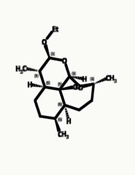 CCO[C@H]1O[C@H]2O[C@]3(C)CC[C@H]4[C@@H](C)CC[C@@H]([C@@H]1C)[C@]24OO3